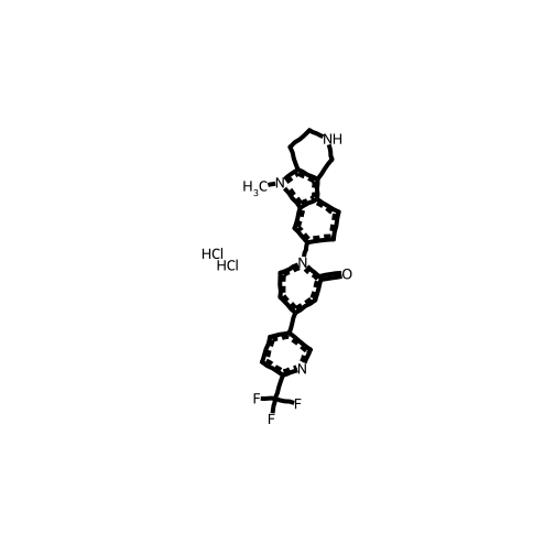 Cl.Cl.Cn1c2c(c3ccc(-n4ccc(-c5ccc(C(F)(F)F)nc5)cc4=O)cc31)CNCC2